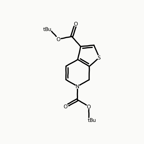 CC(C)(C)OC(=O)c1csc2c1C=CN(C(=O)OC(C)(C)C)C2